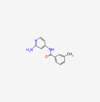 Cc1cccc(C(=O)Nc2ccnc(N)c2)c1